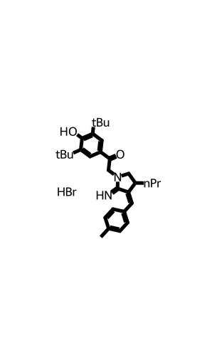 Br.CCCC1CN(CC(=O)c2cc(C(C)(C)C)c(O)c(C(C)(C)C)c2)C(=N)C1=Cc1ccc(C)cc1